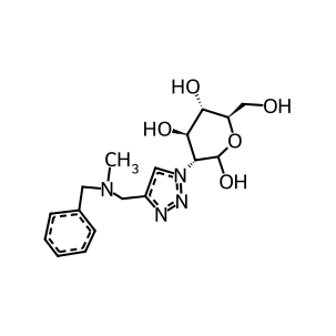 CN(Cc1ccccc1)Cc1cn([C@H]2C(O)O[C@H](CO)[C@@H](O)[C@@H]2O)nn1